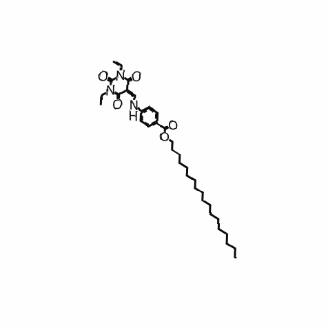 CCCCCCCCCCCCCCCCCCOC(=O)c1ccc(NC=C2C(=O)N(CC)C(=O)N(CC)C2=O)cc1